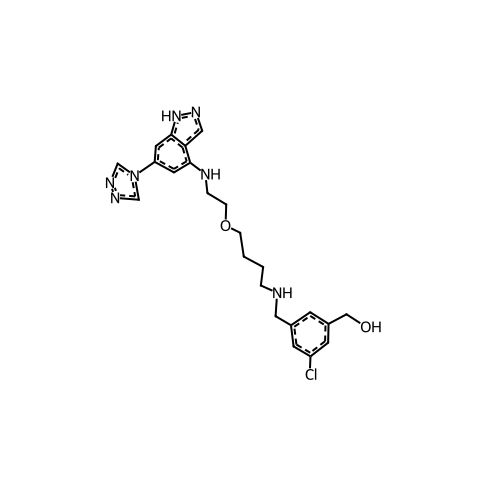 OCc1cc(Cl)cc(CNCCCCOCCNc2cc(-n3cnnc3)cc3[nH]ncc23)c1